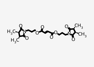 C[C@@H]1C(=O)N(CCCOC(=O)/C=C/C(=O)OCCCN2C(=O)[C@@H](C)[C@@H](C)C2=O)C(=O)[C@@H]1C